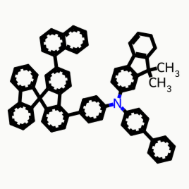 CC1(C)C2=C(C=CCC2)c2ccc(N(c3ccc(-c4ccccc4)cc3)c3ccc(-c4cccc5c4-c4ccc(-c6cccc7ccccc67)cc4C54c5ccccc5-c5ccccc54)cc3)cc21